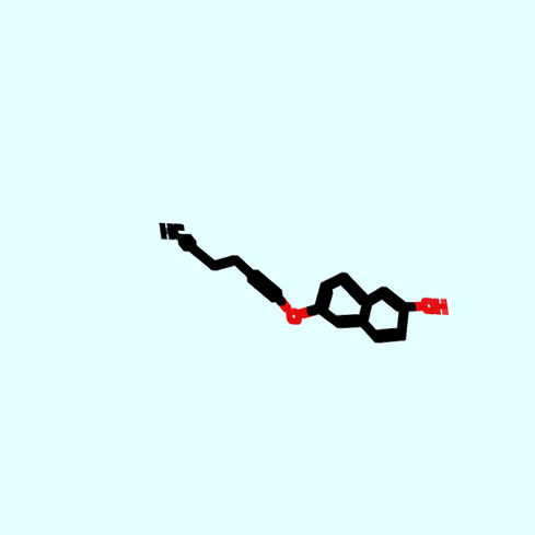 C#CCCC#COc1ccc2cc(O)ccc2c1